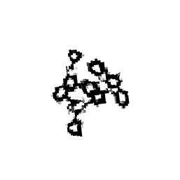 c1ccc(-c2nc(-c3ccccc3)nc(-c3ccc(-n4c5ccccc5c5ccc6c7ccccc7n(-c7cccc(-c8cccc9nc(-c%10ccccc%10)oc89)c7)c6c54)cc3)n2)cc1